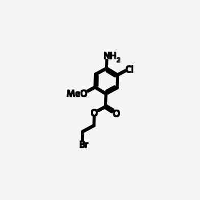 COc1cc(N)c(Cl)cc1C(=O)OCCBr